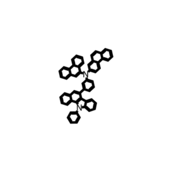 c1ccc(-n2c3ccccc3c3c(-c4cccc(N(c5ccc6c(ccc7ccccc76)c5)c5cc6ccccc6c6ccccc56)c4)cc4ccccc4c32)cc1